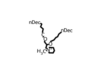 CCCCCCCCCCCCCCCCOCC(C[N+]1(C)CCCCC1)OCCCCCCCCCCCCCCCC